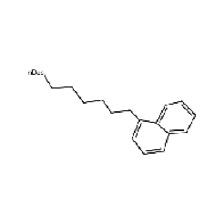 CCCCCCCCCCCCCCCCc1cccc2ccccc12